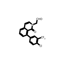 O=CCn1ccc2cccc(-c3ccc(Cl)c(C(F)(F)F)c3)c2c1=O